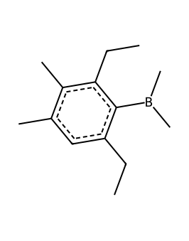 CCc1cc(C)c(C)c(CC)c1B(C)C